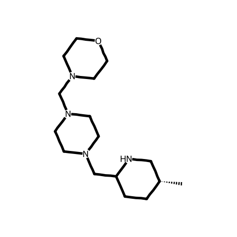 C[C@@H]1CCC(CN2CCN(CN3CCOCC3)CC2)NC1